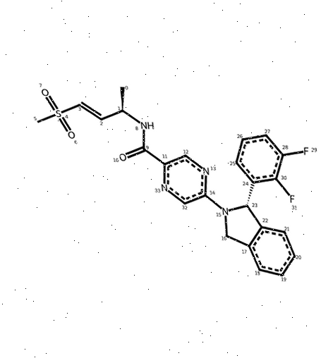 C[C@H](/C=C/S(C)(=O)=O)NC(=O)c1cnc(N2Cc3ccccc3[C@H]2c2cccc(F)c2F)cn1